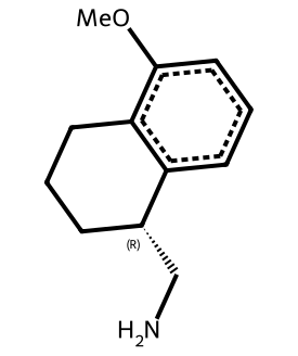 COc1cccc2c1CCC[C@H]2CN